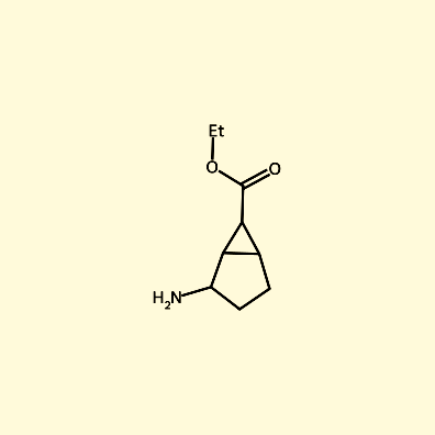 CCOC(=O)C1C2CCC(N)C21